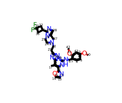 COc1ccc(CNc2nc(-c3ncco3)c(C)c3nc(CCN4CCn5c(cnc5C5CC(F)(F)C5)C4)nn23)c(OC)c1